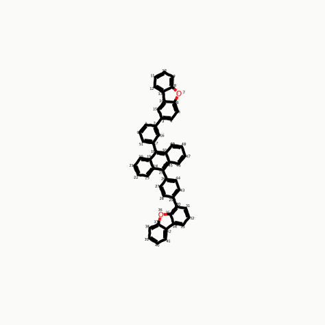 c1cc(-c2ccc3oc4ccccc4c3c2)cc(-c2c3ccccc3c(-c3ccc(-c4cccc5c4oc4ccccc45)cc3)c3ccccc23)c1